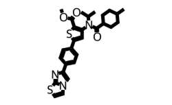 COC(=O)c1sc(-c2ccc(-c3cn4ccsc4n3)cc2)cc1N(C(=O)C1CCC(C)CC1)C(C)C